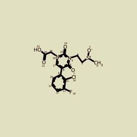 C[S+]([O-])CCn1c(=O)c(-c2cccc(F)c2Cl)cn(CC(=O)O)c1=O